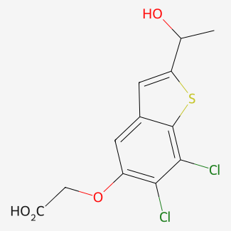 CC(O)c1cc2cc(OCC(=O)O)c(Cl)c(Cl)c2s1